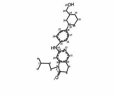 CC(C)CCN1C(=O)CCc2cnc(Nc3ccc(N4CCCC(CO)C4)cc3)cc21